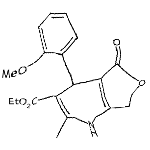 CCOC(=O)C1=C(C)NC2=C(C(=O)OC2)C1c1ccccc1OC